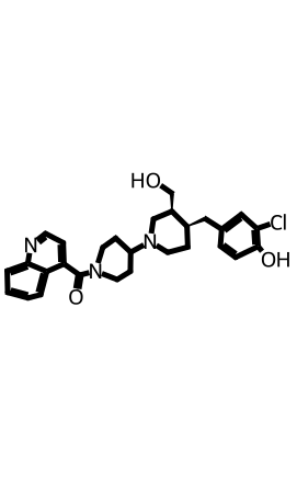 O=C(c1ccnc2ccccc12)N1CCC(N2CC[C@H](Cc3ccc(O)c(Cl)c3)[C@H](CO)C2)CC1